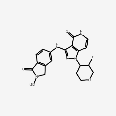 CC(C)(C)N1Cc2cc(Nc3nn(C4CCOCC4F)c4cc[nH]c(=O)c34)ccc2C1=O